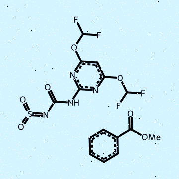 COC(=O)c1ccccc1.O=C(N=S(=O)=O)Nc1nc(OC(F)F)cc(OC(F)F)n1